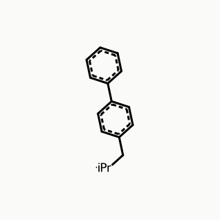 C[C](C)Cc1ccc(-c2ccccc2)cc1